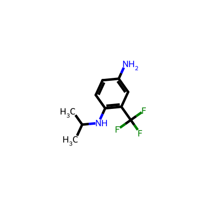 CC(C)Nc1ccc(N)cc1C(F)(F)F